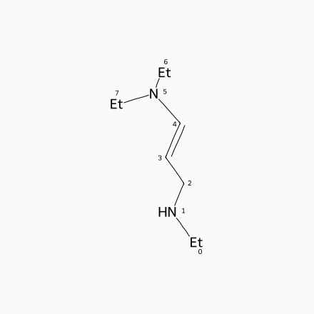 CCNCC=CN(CC)CC